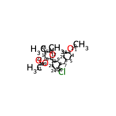 CCOc1ccc(Cc2cc(C3OC(C)C(C)CC3OC(C)=O)ccc2Cl)cc1